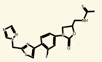 CC(=S)NCC1CN(c2ccc(-c3csc(Cn4cncn4)n3)c(F)c2)C(=O)O1